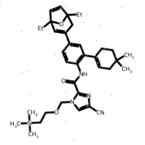 CCC12C=CC(CC)(CC(c3ccc(NC(=O)c4nc(C#N)cn4COCC[Si](C)(C)C)c(C4=CCC(C)(C)CC4)c3)=C1)O2